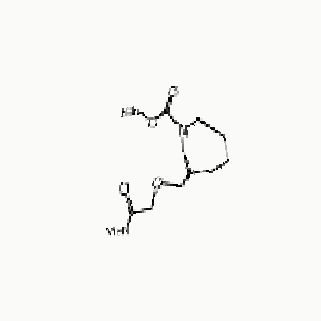 CNC(=O)COCC1CCCCN(C(=O)OC(C)(C)C)C1